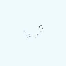 CN(C)[C@]1(c2ccccc2)CC[C@@]2(CC1)CC(=O)N(CCC1(C(N)=O)CCS(=O)(=O)CC1)C2